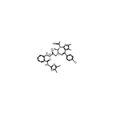 CC(=N)N1c2sc(C)c(C)c2C(c2ccc(Cl)cc2)=N[C@@H](CC(=O)NNc2ccccc2C(=O)Nc2nc(C)c(C)s2)C1N